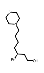 CC[C@H](CCO)CCCCN1CCSCC1